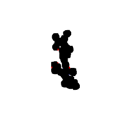 C=C(/C=C(\C=C(/C)c1ccccc1)N(C1=CC2c3cccc4c3N(C3=C(C=CCC3)c3ccc5c(oc6ccccc65)c3-4)C2C=C1)c1ccc(-c2cccc3c2oc2ccccc23)cc1)c1ccc(-c2ccc3oc4c5c(ccc4c3c2)-c2ccccc2-n2c3ccc(N(c4ccc(-c6ccccc6)cc4)c4cc(-c6ccccc6)cc(-c6ccccc6)c4)cc3c3cccc-5c32)cc1